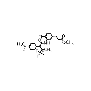 C=C(F)C1=CCC([C@@H](C(=O)Nc2cc(CCC(=O)OC)ccc2Cl)[C@@H](C)C(F)(F)F)C=C1